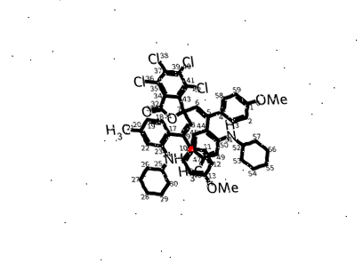 COc1ccc(C(=CC2(C=C(c3ccc(OC)cc3)c3ccc(C)cc3NC3CCCCC3)OC(=O)c3c(Cl)c(Cl)c(Cl)c(Cl)c32)c2ccc(C)cc2NC2CCCCC2)cc1